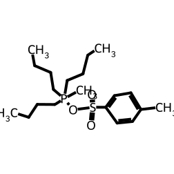 CCCCP(C)(CCCC)(CCCC)OS(=O)(=O)c1ccc(C)cc1